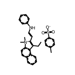 CCC1=C(C=CNc2ccccc2)[N+](C)(C)c2ccc3ccccc3c21.Cc1ccc(S(=O)(=O)[O-])cc1